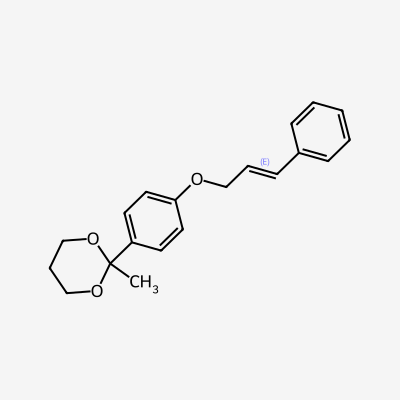 CC1(c2ccc(OC/C=C/c3ccccc3)cc2)OCCCO1